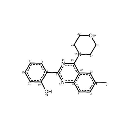 Cc1ccc2nc(-c3ccccc3O)nc(N3CCOCC3)c2c1